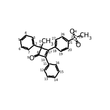 CC1(c2ccccc2)C(=O)C(c2ccccc2)=C1c1ccc(S(C)(=O)=O)cc1